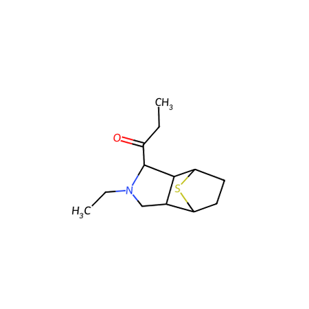 CCC(=O)C1C2C3CCC(S3)C2CN1CC